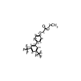 CCOC(=O)CSc1ccc(-c2cc(C(F)(F)F)cc(C(F)(F)F)c2)nc1